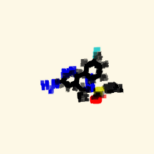 CC[C@@H](N[S@+]([O-])C(C)(C)C)c1cc(N)nnc1-c1cccc(F)c1